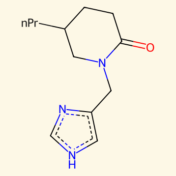 CCCC1CCC(=O)N(Cc2c[nH]cn2)C1